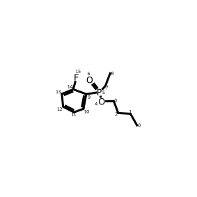 CCCCOP(=O)(CC)c1ccccc1F